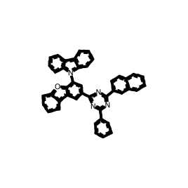 c1ccc(-c2nc(-c3ccc4ccccc4c3)nc(-c3cc(-n4c5ccccc5c5ccccc54)c4oc5ccccc5c4c3)n2)cc1